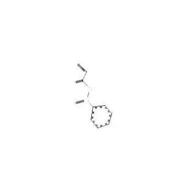 C=CC(=O)N[Si](=O)c1ccccc1